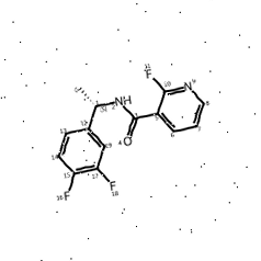 C[C@H](NC(=O)c1cccnc1F)c1ccc(F)c(F)c1